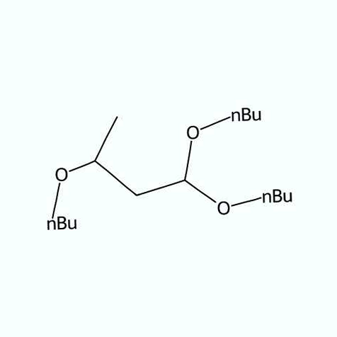 CCCCOC(C)CC(OCCCC)OCCCC